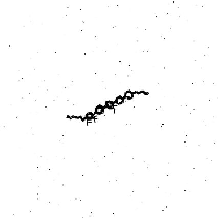 C/C=C/CCC1CCC(C2CCC(c3ccc(-c4ccc(-c5ccc(CCCCCC)c(F)c5F)cc4)cc3F)CC2)CC1